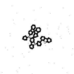 c1ccc(N(c2ccc3c(c2)C2(c4ccccc4-c4ccccc42)c2ccccc2-3)c2ccc3c(c2)c2ccccc2n3-c2cccc(-c3cccc4c3oc3ccccc34)c2)cc1